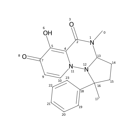 CN1C(=O)c2c(O)c(=O)ccn2N2C1CCC2(C)c1ccccc1